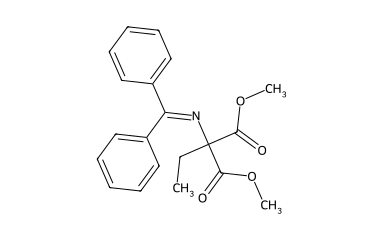 CCC(N=C(c1ccccc1)c1ccccc1)(C(=O)OC)C(=O)OC